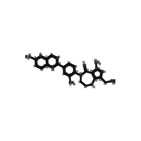 Cc1cc(-c2ncc3nc(C(F)(F)F)ccc3n2)ccc1N1CCOc2c(CO)nn(C)c2C1=O